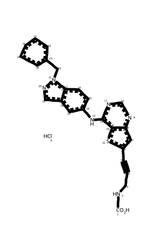 Cl.O=C(O)NCC#Cc1cc2ncnc(Nc3ccc4c(cnn4Cc4ccccc4)c3)c2s1